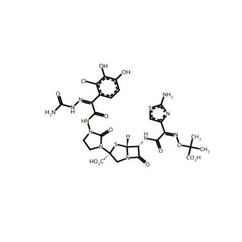 CC(C)(O/N=C(\C(=O)N[C@@H]1C(=O)N2C[C@@](C(=O)O)(N3CCN(NC(=O)/C(=N\NC(N)=O)c4ccc(O)c(O)c4Cl)C3=O)S[C@H]12)c1csc(N)n1)C(=O)O